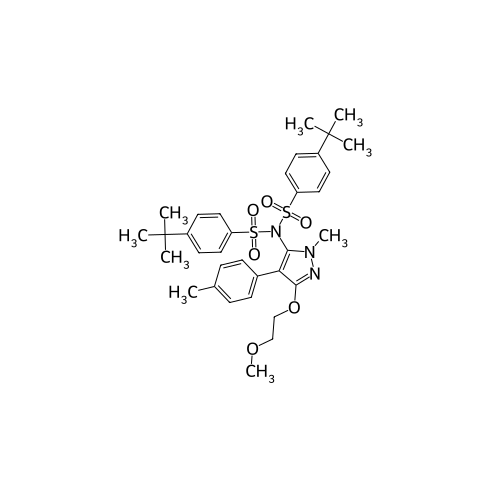 COCCOc1nn(C)c(N(S(=O)(=O)c2ccc(C(C)(C)C)cc2)S(=O)(=O)c2ccc(C(C)(C)C)cc2)c1-c1ccc(C)cc1